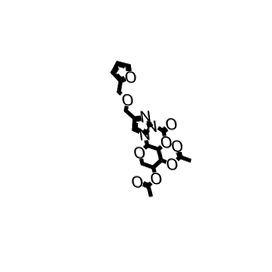 CC(=O)OC1COC(n2cc(COCc3ccco3)nn2)C(OC(C)=O)C1OC(C)=O